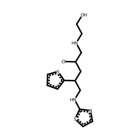 OCCNCC(Cl)CC(CNc1nccs1)c1cccs1